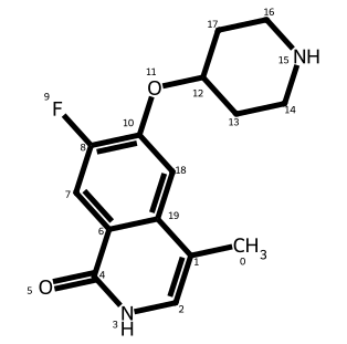 Cc1c[nH]c(=O)c2cc(F)c(OC3CCNCC3)cc12